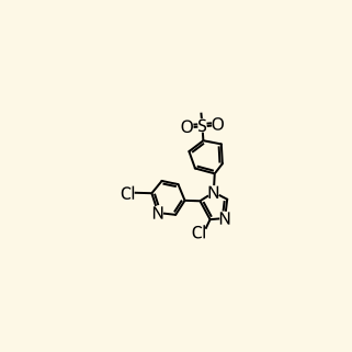 CS(=O)(=O)c1ccc(-n2cnc(Cl)c2-c2ccc(Cl)nc2)cc1